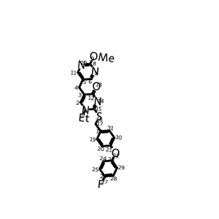 CCn1cc(Cc2cnc(OC)nc2)c(=O)nc1SCc1ccc(Oc2ccc(F)cc2)cc1